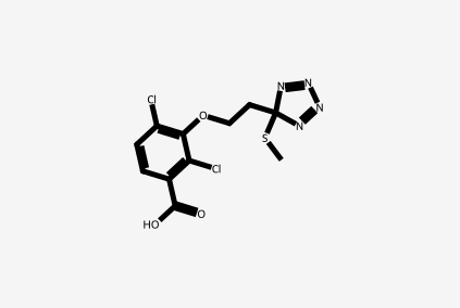 CSC1(CCOc2c(Cl)ccc(C(=O)O)c2Cl)N=NN=N1